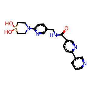 O=C(NCc1ccc(N2CCS(O)(O)CC2)nc1)c1ccc(-c2cccnc2)nc1